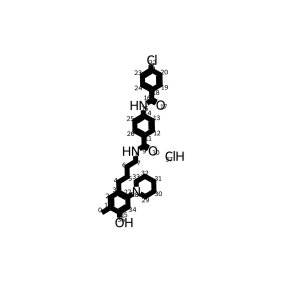 Cc1cc(CCCCNC(=O)c2ccc(NC(=O)c3ccc(Cl)cc3)cc2)c(N2CCCCC2)cc1O.Cl